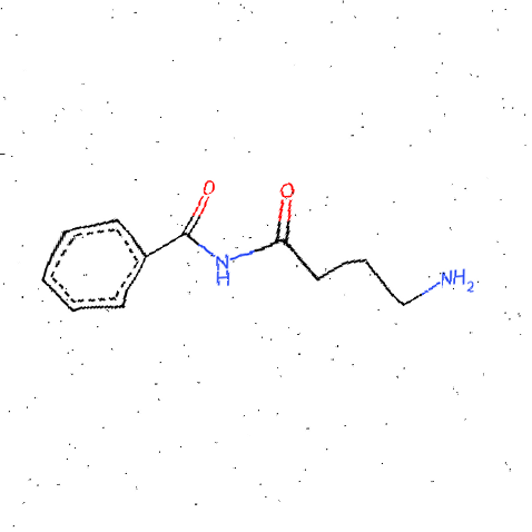 NCCCC(=O)NC(=O)c1ccccc1